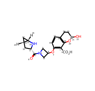 O=C(O)c1c(OC2CN(C(=O)[C@@H]3C[C@@H]4C[C@@H]4N3)C2)ccc2c1OB(O)CC2